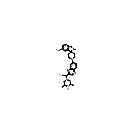 CCCC(c1cnc2ccc(N3CCC(c4cccc(O)c4)(N(C)C)CC3)cc2n1)N1CC(C)NC(C)C1